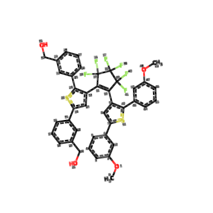 COc1cccc(-c2cc(C3=C(c4cc(-c5cccc(CO)c5)sc4-c4cccc(CO)c4)C(F)(F)C(F)(F)C3(F)F)c(-c3cccc(OC)c3)s2)c1